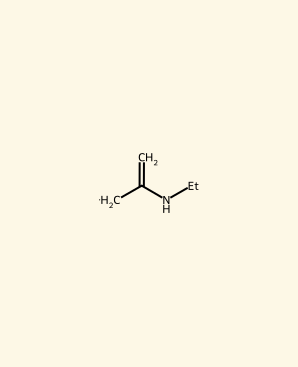 [CH2]C(=C)NCC